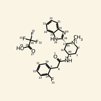 CN1CC[C@@H](NC(=O)Cc2ccccc2F)C[C@@H]1c1nc2ccccc2[nH]1.O=C(O)C(F)(F)F